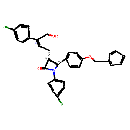 O=C1[C@H](C/C=C(\CO)c2ccc(F)cc2)[C@@H](c2ccc(OCc3ccccc3)cc2)N1c1ccc(F)cc1